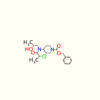 CC(O)CN(C(=O)C(C)Cl)C1CCN(C(=O)OCc2ccccc2)CC1